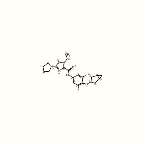 O=C(Nc1cc(F)c(OC2CC3CC3C2)c(F)c1)c1nc(N2CCCC2)sc1CC(F)(F)F